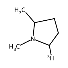 [3H]C1CCC(C)N1C